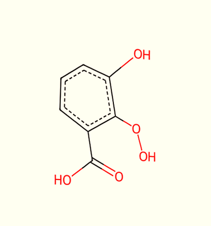 O=C(O)c1cccc(O)c1OO